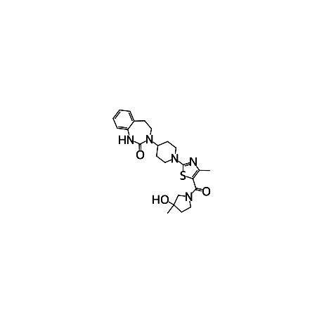 Cc1nc(N2CCC(N3CCc4ccccc4NC3=O)CC2)sc1C(=O)N1CCC(C)(O)C1